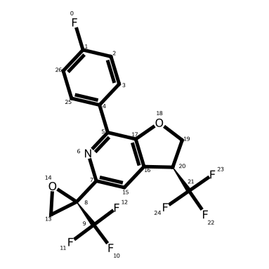 Fc1ccc(-c2nc([C@]3(C(F)(F)F)CO3)cc3c2OC[C@H]3C(F)(F)F)cc1